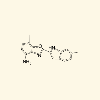 Cc1ccc2cc(-c3nc4c(N)ccc(C)c4o3)[nH]c2c1